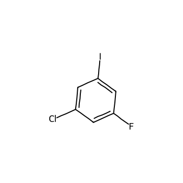 Fc1cc(Cl)cc(I)c1